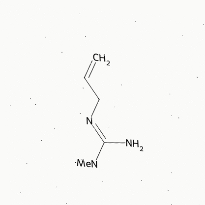 C=CCN=C(N)[N]C